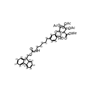 COC(=O)[C@H]1O[C@@H](Oc2cc(CCCCCNC(=O)OCC3c4ccccc4-c4ccccc43)ccc2CO)[C@H](OC(C)=O)[C@@H](OC(C)=O)[C@@H]1OC(C)=O